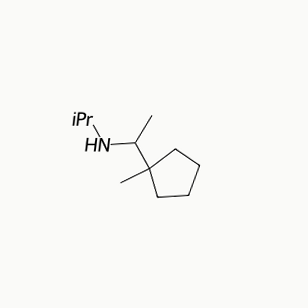 CC(C)NC(C)C1(C)CCCC1